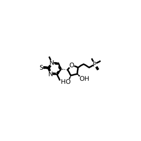 C=P(C)(C)CCC1O[C@@H](c2cn(C)c(=S)nc2C)[C@H](O)[C@@H]1O